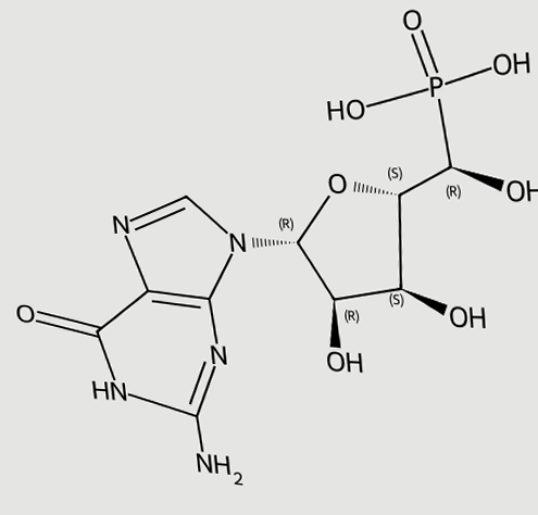 Nc1nc2c(ncn2[C@@H]2O[C@H]([C@H](O)P(=O)(O)O)[C@@H](O)[C@H]2O)c(=O)[nH]1